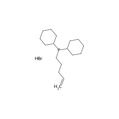 Br.C=CCCCP(C1CCCCC1)C1CCCCC1